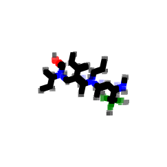 C=C(CC)/C(CN(C=O)C(C)CC)=C(/C)N(CCC)/C(C)=C/C(=N\C)C(F)(F)F